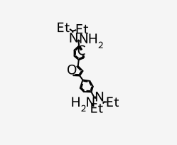 CCC(CC)N=C(N)c1ccc(-c2coc(-c3ccc(C(N)=NC(CC)CC)cc3)c2)cc1